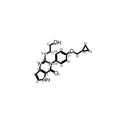 O=c1c2[nH]ccc2nc(SCCO)n1-c1ccc(OCC2CC2)cc1